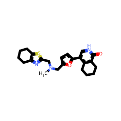 CN(Cc1ccc(-c2c[nH]c(=O)c3c2CCCC3)o1)Cc1nc2c(s1)CCCC2